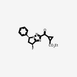 CCOC(=O)C1CC1C(=O)c1nc2n(n1)[C@H](c1ccccc1)C[C@@H]2F